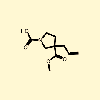 C=CCC1(C(=O)OC)CCN(C(=O)O)C1